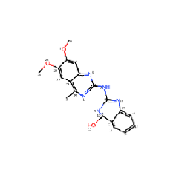 COc1cc2nc(Nc3nc(O)c4ccccc4n3)nc(C)c2cc1OC